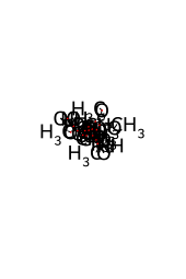 COc1ccc(C(OC[C@H]2O[C@@H](n3cc(C)c(=O)[nH]c3=O)C[C@@H]2OP(=O)(CO[C@H]2O[C@@H](n3ccc(=O)[nH]c3=O)[C@H](OC)[C@@H]2O[Si](C)(C)C(C)(C)C)OC)(c2ccccc2)c2ccc(OC)cc2)cc1